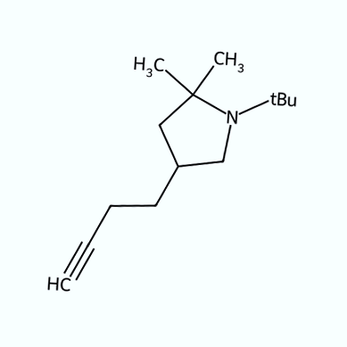 C#CCCC1CN(C(C)(C)C)C(C)(C)C1